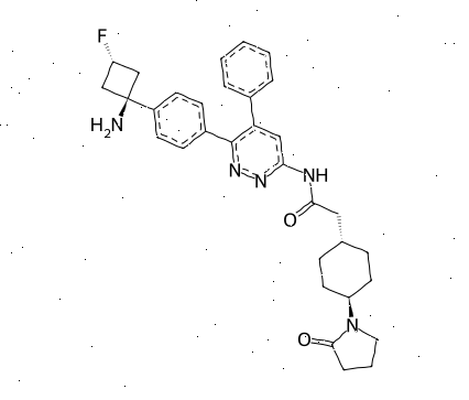 N[C@]1(c2ccc(-c3nnc(NC(=O)C[C@H]4CC[C@H](N5CCCC5=O)CC4)cc3-c3ccccc3)cc2)C[C@@H](F)C1